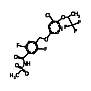 CC(Oc1ncc(OCc2cc(F)c(C(=O)NS(C)(=O)=O)cc2F)cc1Cl)C(F)(F)F